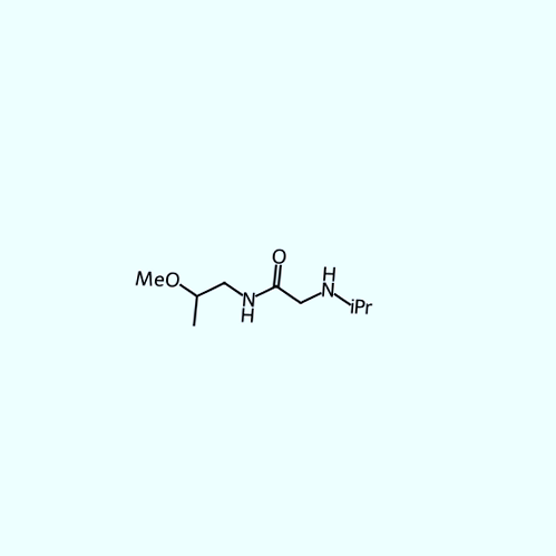 COC(C)CNC(=O)CNC(C)C